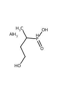 CC(CCO)[PH](=O)O.[AlH3]